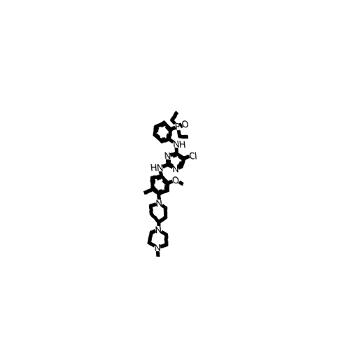 CCP(=O)(CC)c1ccccc1Nc1nc(Nc2cc(C)c(N3CCC(N4CCN(C)CC4)CC3)cc2OC)ncc1Cl